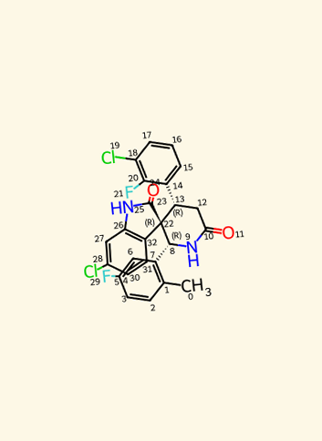 Cc1ccc(F)cc1[C@H]1NC(=O)C[C@@H](c2cccc(Cl)c2F)[C@]12C(=O)Nc1cc(Cl)ccc12